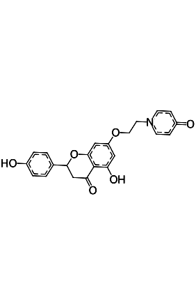 O=C1CC(c2ccc(O)cc2)Oc2cc(OCCn3ccc(=O)cc3)cc(O)c21